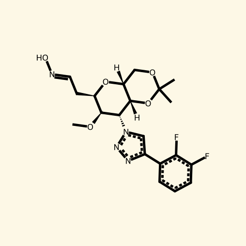 CO[C@@H]1[C@@H](n2cc(-c3cccc(F)c3F)nn2)[C@H]2OC(C)(C)OC[C@H]2O[C@@H]1CC=NO